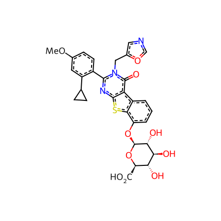 COc1ccc(-c2nc3sc4c(O[C@@H]5O[C@H](C(=O)O)[C@@H](O)[C@H](O)[C@H]5O)cccc4c3c(=O)n2Cc2cnco2)c(C2CC2)c1